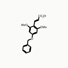 CCOC(=O)/C=C/c1c(OC)cc(OCc2ccccc2)cc1OC